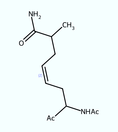 CC(=O)NC(C/C=C\CC(C)C(N)=O)C(C)=O